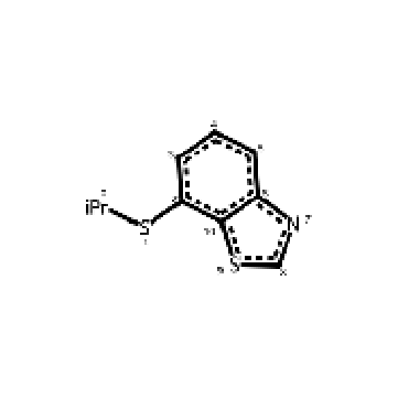 CC(C)Sc1cccc2ncsc12